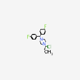 CCC(Cl)N1CCN(C(c2ccc(F)cc2)c2ccc(F)cc2)CC1